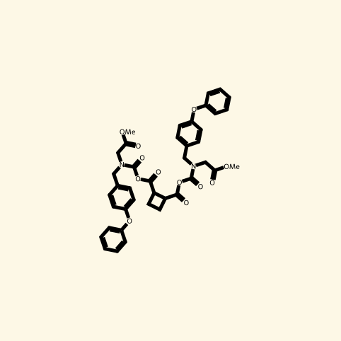 COC(=O)CN(Cc1ccc(Oc2ccccc2)cc1)C(=O)OC(=O)C1CCC1C(=O)OC(=O)N(CC(=O)OC)Cc1ccc(Oc2ccccc2)cc1